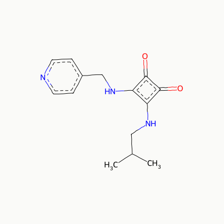 CC(C)CNc1c(NCc2ccncc2)c(=O)c1=O